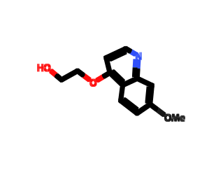 COc1ccc2c(OCCO)ccnc2c1